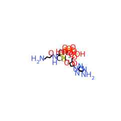 CC(C)(CNC(=O)CCCN)SSCO[C@@H]1C[C@H](n2cnc3c(N)ncnc32)OC1COP(=O)(O)OP(=O)(O)OP(=O)(O)O